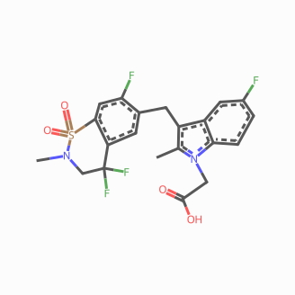 Cc1c(Cc2cc3c(cc2F)S(=O)(=O)N(C)CC3(F)F)c2cc(F)ccc2n1CC(=O)O